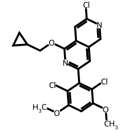 COc1cc(OC)c(Cl)c(-c2cc3cnc(Cl)cc3c(OCC3CC3)n2)c1Cl